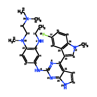 CCNc1cc(Nc2nc(-c3cn(C)c4ccc(F)cc34)c3cc[nH]c3n2)ccc1N(C)CCN(C)C